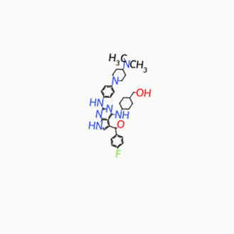 CN(C)C1CCN(c2ccc(Nc3nc(NC4CCC(CO)CC4)c4c(C(=O)c5ccc(F)cc5)c[nH]c4n3)cc2)CC1